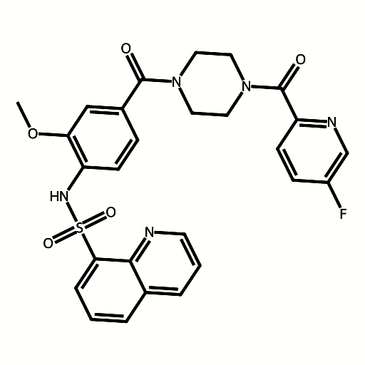 COc1cc(C(=O)N2CCN(C(=O)c3ccc(F)cn3)CC2)ccc1NS(=O)(=O)c1cccc2cccnc12